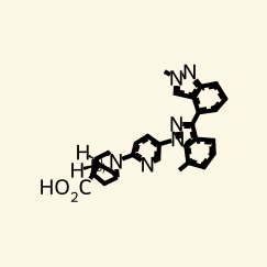 Cc1cccc2c(-c3cccc4nn(C)cc34)nn(-c3ccc(N4C[C@@H]5CCC4C[C@@H]5C(=O)O)nc3)c12